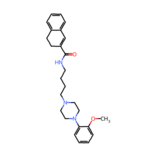 COc1ccccc1N1CCN(CCCCNC(=O)C2=Cc3ccccc3CC2)CC1